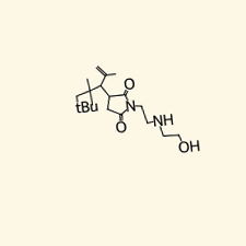 C=C(C)C(C1CC(=O)N(CCNCCO)C1=O)C(C)(C)CC(C)(C)C